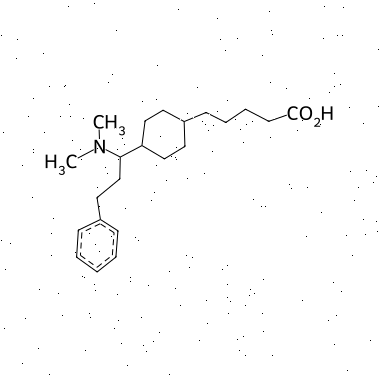 CN(C)C(CCc1ccccc1)C1CCC(CCCCC(=O)O)CC1